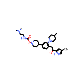 CC1CCN(c2cc(C3CCN(OC(=O)NCCN(C)C)CC3)ccc2CC(=O)c2cc(C#N)c[nH]2)CC1